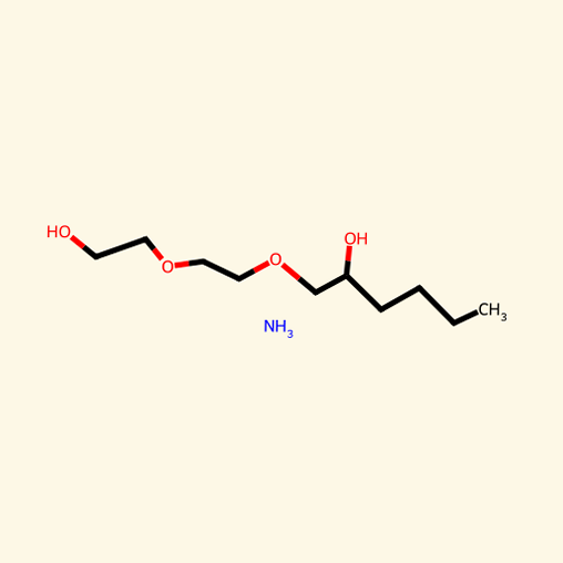 CCCCC(O)COCCOCCO.N